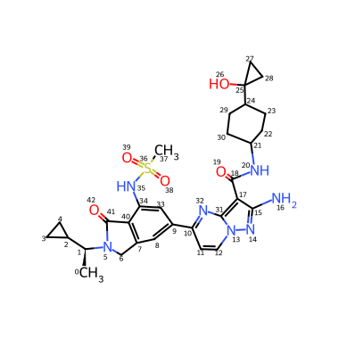 C[C@@H](C1CC1)N1Cc2cc(-c3ccn4nc(N)c(C(=O)NC5CCC(C6(O)CC6)CC5)c4n3)cc(NS(C)(=O)=O)c2C1=O